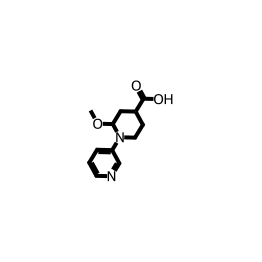 COC1CC(C(=O)O)CCN1c1cccnc1